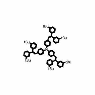 CC(C)(C)c1cccc(C(=Cc2ccc(N(c3ccc(C=C(c4cccc(C(C)(C)C)c4)c4cccc(C(C)(C)C)c4)cc3)c3ccc(C=C(c4cccc(C(C)(C)C)c4)c4cccc(C(C)(C)C)c4)cc3)cc2)c2cccc(C(C)(C)C)c2)c1